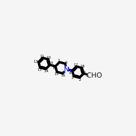 O=Cc1ccc(N2CCC(c3ccccc3)CC2)cc1